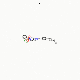 CCc1ccc(CCN2CCC3(CCN(S(=O)(=O)c4ccccc4Cl)CC3)C2)cc1